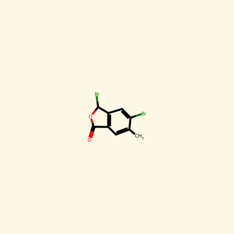 Cc1cc2c(cc1Br)C(Br)OC2=O